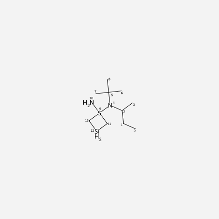 CCC(C)N(C(C)(C)C)S1(N)C[SiH2]C1